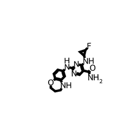 NC(=O)c1cnc(Nc2ccc3c(c2)NCCCO3)nc1NC1CC1F